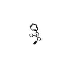 C#COC(=O)Oc1ccccc1